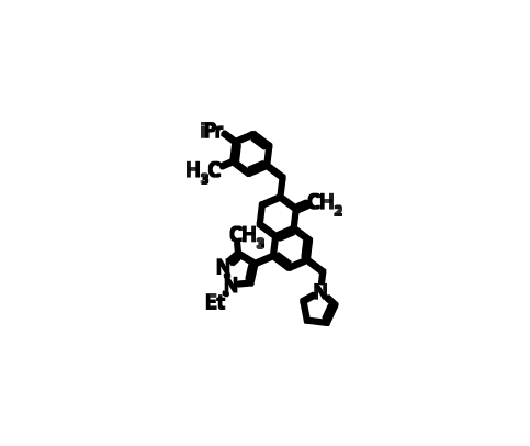 C=C1c2cc(CN3C=CCC3)cc(-c3cn(CC)nc3C)c2CCC1Cc1ccc(C(C)C)c(C)c1